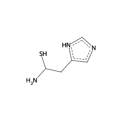 NC(S)Cc1cnc[nH]1